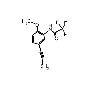 CC#Cc1ccc(OC)c(NC(=O)C(F)(F)F)c1